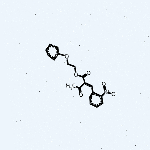 CC(=O)C(=Cc1ccccc1[N+](=O)[O-])C(=O)OCCOc1ccccc1